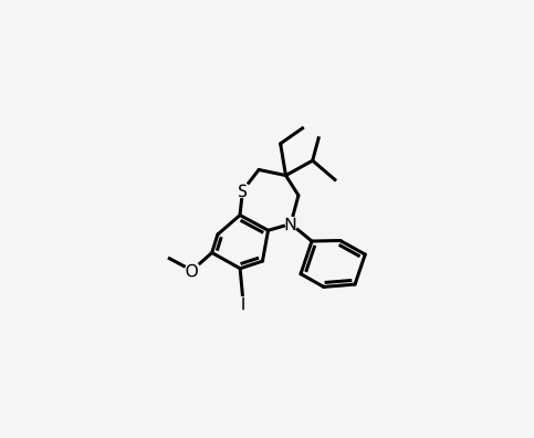 CCC1(C(C)C)CSc2cc(OC)c(I)cc2N(c2ccccc2)C1